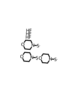 F.F.F.[S]N1CCOCC1.[S]N1CCOCC1.[S]N1CCOCC1